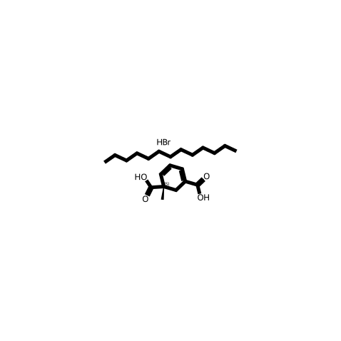 Br.CCCCCCCCCCCCC.C[C@@]1(C(=O)O)C=CC=C(C(=O)O)C1